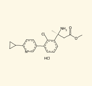 COC(=O)C[C@](C)(N)c1cccc(-c2ccc(C3CC3)nc2)c1Cl.Cl